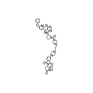 Nc1ncnc2c1c(-c1ccc(Oc3ccccc3)cc1)nn2[C@@H]1CCCN(C(=O)N2CCN(CCCN3CCN(c4ccc5c(c4)C(=O)N(C4CCC(=O)NC4=O)C5=O)CC3)CC2)C1